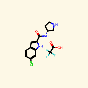 O=C(N[C@@H]1CCNC1)c1cc2ccc(Cl)cc2[nH]1.O=C(O)C(F)(F)F